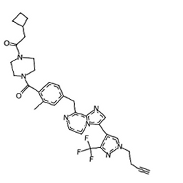 C#CCCn1cc(-c2cnc3c(Cc4ccc(C(=O)N5CCN(C(=O)CC6CCC6)CC5)c(C)c4)nccn23)c(C(F)(F)F)n1